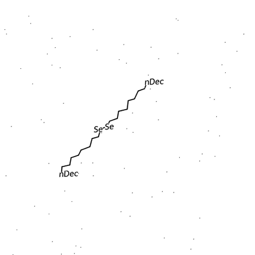 CCCCCCCCCCCCCCCCCC[Se][Se]CCCCCCCCCCCCCCCCCC